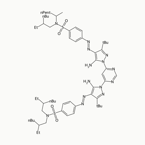 CCCCCC(C)N(CC(CC)CCCC)S(=O)(=O)c1ccc(/N=N/c2c(C(C)(C)C)nn(-c3cc(-n4nc(C(C)(C)C)c(/N=N/c5ccc(S(=O)(=O)N(CC(CC)CCCC)CC(CC)CCCC)cc5)c4N)ncn3)c2N)cc1